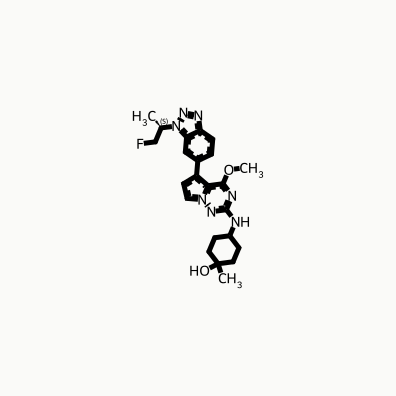 COc1nc(NC2CCC(C)(O)CC2)nn2ccc(-c3ccc4nnn([C@@H](C)CF)c4c3)c12